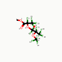 COC(=O)C(F)(OC(F)(F)C(F)(OC(F)(F)F)C(F)(F)F)C(F)(F)F